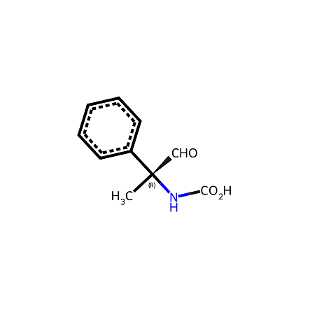 C[C@@](C=O)(NC(=O)O)c1ccccc1